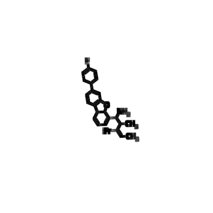 C/C=C(/C(C)C)C(C)C(N)C1=CC=CC2c3ccc(C4C=CC(F)=CC4)cc3OC12